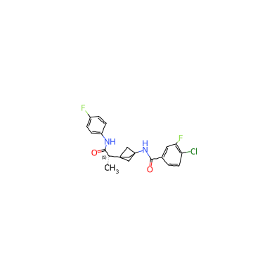 C[C@H](C(=O)Nc1ccc(F)cc1)C12CC(NC(=O)c3ccc(Cl)c(F)c3)(C1)C2